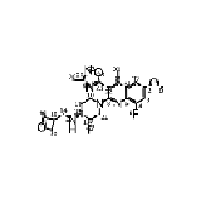 COc1cc(F)c2nc(N3CC[C@H](NCC4COC4)[C@@H](F)C3)c(-c3nc(C)no3)c(C)c2c1